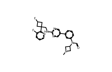 CN1CC(N(C=O)c2cccc(-c3cnc(NCC4(c5ncccc5F)CC(F)C4)nc3)c2)C1